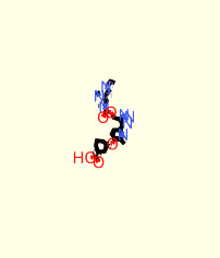 C=N/C(=C\N=C/C)CN(C)C(=O)OCc1c(-c2ccc(O[C@H]3CCC[C@H](C(=O)O)C3)c(C)n2)nnn1C